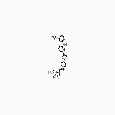 Cc1ccnc(Nc2cccc(-c3cnc(N4CCC(NCC(=O)N(C)C)CC4)s3)n2)c1